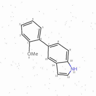 COc1ccccc1-c1ccc2[nH]ccc2c1